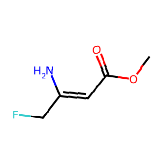 COC(=O)C=C(N)CF